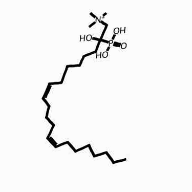 CCCCCCC/C=C\CCC/C=C\CCCCCC(O)(C[N+](C)(C)C)P(=O)(O)O